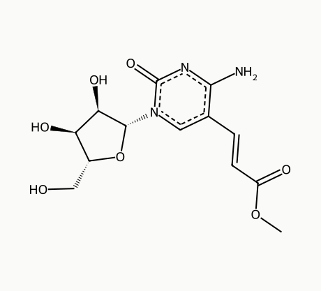 COC(=O)/C=C/c1cn([C@@H]2O[C@H](CO)[C@@H](O)[C@H]2O)c(=O)nc1N